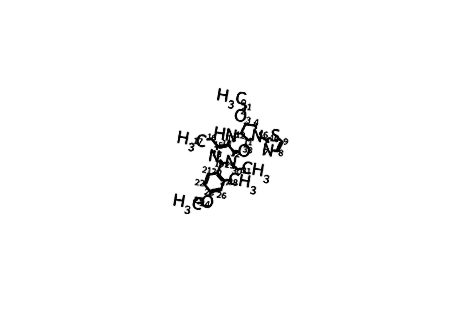 CCO[C@H]1CN(c2nccs2)C[C@H]1Nc1c(CC)nc(-c2ccc(OC)cc2C)n(CC)c1=O